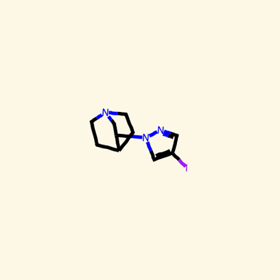 Ic1cnn(C2CN3CCC2CC3)c1